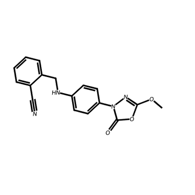 COc1nn(-c2ccc(NCc3ccccc3C#N)cc2)c(=O)o1